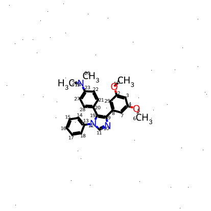 COc1cc(OC)cc(-c2ncn(-c3ccccc3)c2-c2ccc(N(C)C)cc2)c1